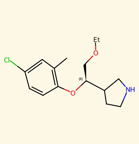 CCOC[C@H](Oc1ccc(Cl)cc1C)C1CCNC1